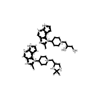 Cc1nc2cnc3[nH]ccc3c2n1C1CCN(CC(O)CO)CC1.Cc1nc2cnc3[nH]ccc3c2n1C1CCN(CC2COC(C)(C)O2)CC1